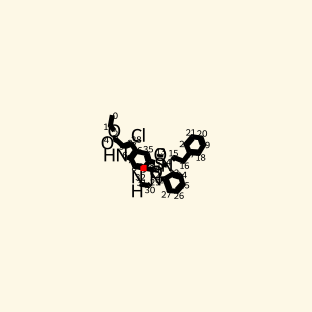 CCOC(=O)c1[nH]c2ccc(S(=O)(=O)N(CCc3ccccc3)c3ccccc3N3CCNCC3)cc2c1Cl